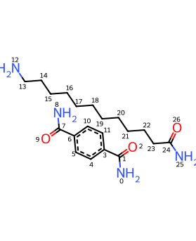 NC(=O)c1ccc(C(N)=O)cc1.NCCCCCCCCCCCC(N)=O